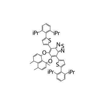 CC1C=CC2(C)Oc3c(c(-c4ccc(-c5c(C(C)C)cccc5C(C)C)s4)c4nsnc4c3-c3ccc(-c4c(C(C)C)cccc4C(C)C)s3)OC3(C)C=CC(C)C1=C23